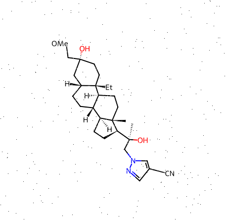 CC[C@]12CC[C@](O)(COC)C[C@H]1CC[C@H]1[C@@H]3CC[C@H]([C@@](C)(O)Cn4cc(C#N)cn4)[C@@]3(C)CC[C@@H]12